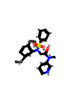 COc1ccc(OC)c(N(CC(=O)N(C)c2cccnc2)S(=O)(=O)c2ccccc2)c1